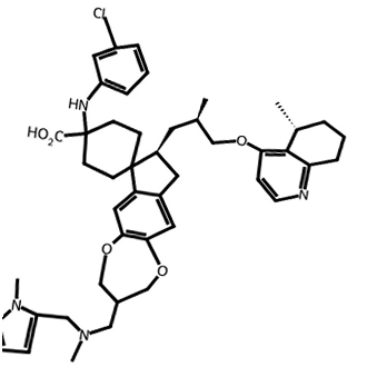 C[C@@H](COc1ccnc2c1[C@H](C)CCC2)C[C@H]1Cc2cc3c(cc2C12CCC(Nc1cccc(Cl)c1)(C(=O)O)CC2)OCC(CN(C)Cc1cccn1C)CO3